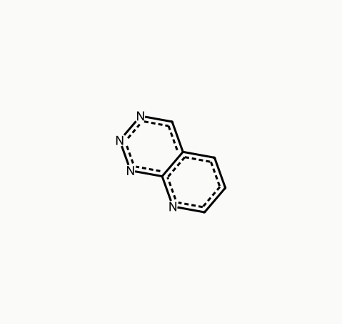 c1cnc2nnncc2c1